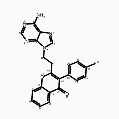 Nc1ncnc2c1ncn2CCc1oc2ccccc2c(=O)c1-c1ccc(F)cc1